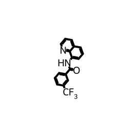 O=C(Nc1cccc2cccnc12)c1cccc(C(F)(F)F)c1